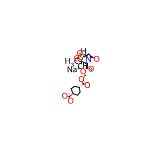 CC1(C)[C@H](C(=O)OCOC(=O)[C@H]2CC[C@H](C(=O)[O-])CC2)N2C(=O)C[C@H]2S1(=O)=O.[Na+]